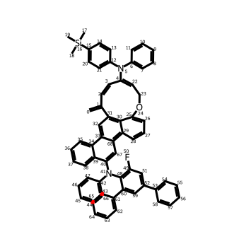 C=C1/C=C\C(N(c2ccccc2)c2ccc([Si](C)(C)C)cc2)=C/COc2cccc3c2c1cc1c2ccccc2c(N(c2ccccc2)c2c(F)cc(-c4ccccc4)cc2-c2ccccc2)cc31